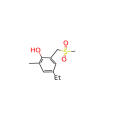 CCc1cc(C)c(O)c(CS(C)(=O)=O)c1